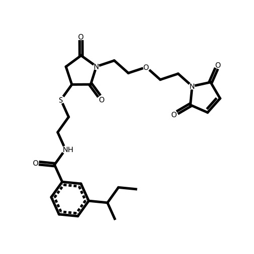 CCC(C)c1cccc(C(=O)NCCSC2CC(=O)N(CCOCCN3C(=O)C=CC3=O)C2=O)c1